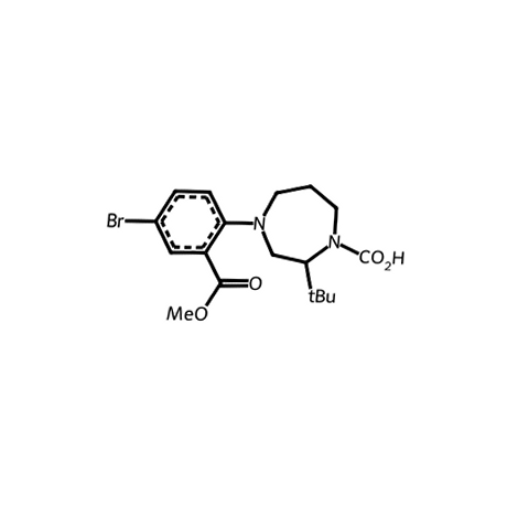 COC(=O)c1cc(Br)ccc1N1CCCN(C(=O)O)C(C(C)(C)C)C1